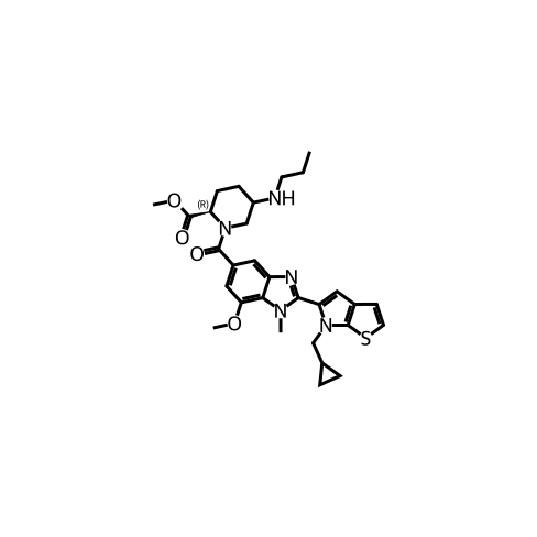 CCCNC1CC[C@H](C(=O)OC)N(C(=O)c2cc(OC)c3c(c2)nc(-c2cc4ccsc4n2CC2CC2)n3C)C1